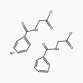 O=C([O-])CNC(=O)c1ccccc1.O=C([O-])CNC(=O)c1ccccc1.[Ni+2]